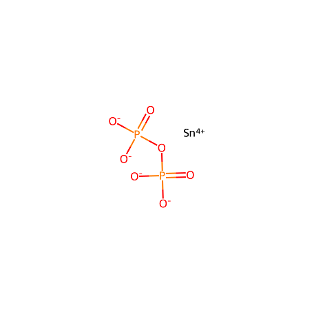 O=P([O-])([O-])OP(=O)([O-])[O-].[Sn+4]